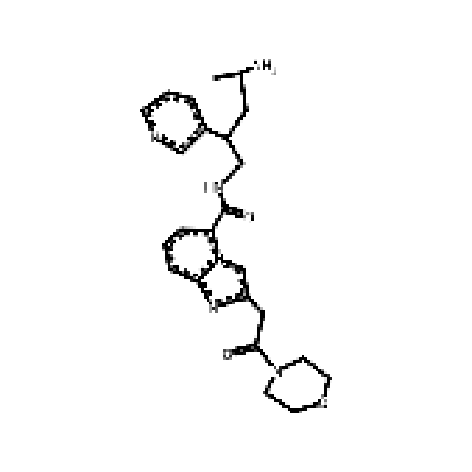 NC(I)CC(CNC(=O)c1cccc2nc(CC(=O)N3CCOCC3)cn12)c1cccnc1